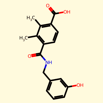 Cc1c(C(=O)O)ccc(C(=O)NCc2cccc(O)c2)c1C